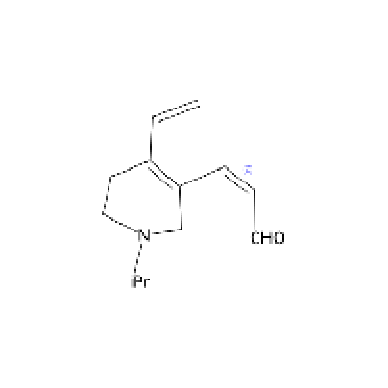 C=CC1=C(/C=C\C=O)CN(C(C)C)CC1